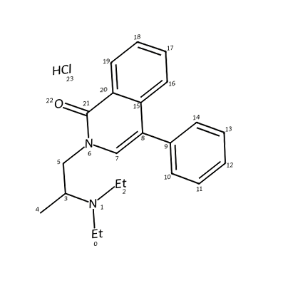 CCN(CC)C(C)Cn1cc(-c2ccccc2)c2ccccc2c1=O.Cl